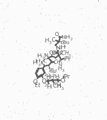 [2H]C([2H])(Oc1cc(C(C)[C@H](C(C)CC)C(C)[C@](C)(N)[C@H](C[C@](C)(C(=O)NCC(C)(C(N)=O)C(C)(C)C)C(C)C(C)C)OC)ccc1OCC)C([2H])(C)C([2H])([2H])OC(C)C